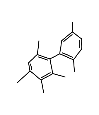 Cc1ccc(C)c(-c2c(C)cc(C)c(C)c2C)c1